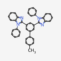 Cc1ccc(-c2cc(-c3nc4ccccc4n3-c3ccccc3)cc(-c3nc4ccccc4n3-c3ccccc3)c2)cc1